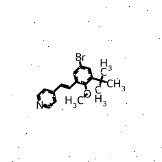 COc1c(C=Cc2ccncc2)cc(Br)cc1C(C)(C)C